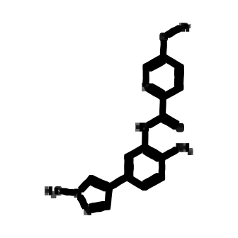 CC(C)Oc1ccc(C(=O)Nc2cc(-c3cnn(C)c3)ccc2N)nc1